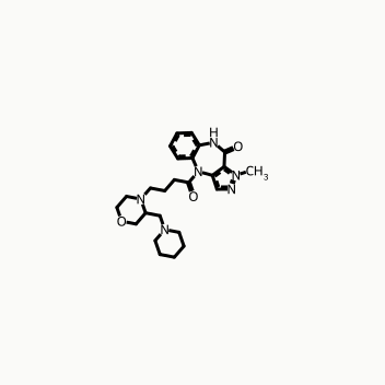 Cn1ncc2c1C(=O)Nc1ccccc1N2C(=O)CCCN1CCOCC1CN1CCCCC1